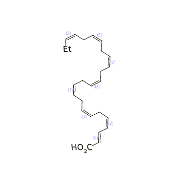 CC/C=C\C/C=C\C/C=C\C/C=C\C/C=C\C/C=C\C/C=C\C=C\C(=O)O